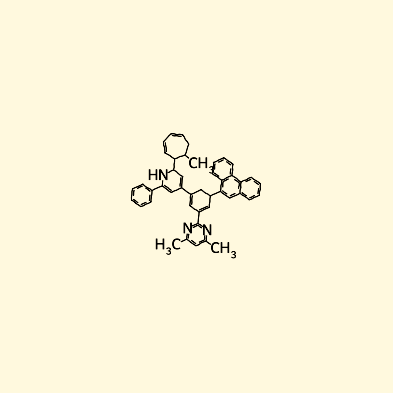 Cc1cc(C)nc(C2=CC(c3cc4ccccc4c4ccccc34)CC(C3=CC(C4C=CC=CCC4C)NC(c4ccccc4)=C3)=C2)n1